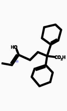 C/C=C(\O)CCC(C(=O)O)(C1=CCCCC1)C1=CCCCC1